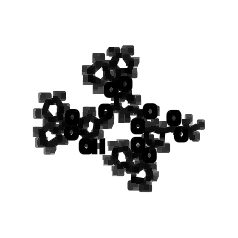 CC(C)(C)OC(=O)c1cc(OC(=O)c2cc(OCc3cc(O)c4c(c3)OC(c3ccccc3)(c3ccccc3)O4)c3c(c2)OC(c2ccccc2)(c2ccccc2)O3)c2c(c1)OC(c1ccccc1)(c1ccccc1)O2